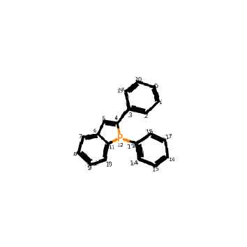 c1ccc(-c2cc3ccccc3p2-c2ccccc2)cc1